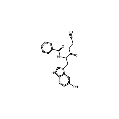 C#CCOC(=O)C(Cc1c[nH]c2ccc(O)cc12)NC(=O)c1ccccc1